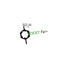 Cc1ccc(S(=O)(=O)O)cc1.[Cl-].[Cl-].[Cl-].[Fe+3]